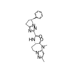 Cc1cc2n(n1)CC[C@H](NC(=O)c1nc3n(n1)[C@H](c1ccccc1)CC3)C(=O)N2C